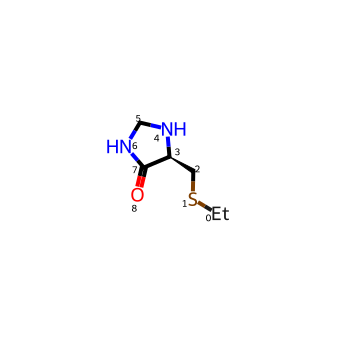 CCSC[C@@H]1NCNC1=O